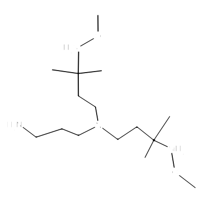 CO[SiH2]C(C)(C)CCN(CCCN)CCC(C)(C)[SiH2]OC